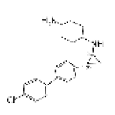 NC1CCC(N[C@H]2C[C@@H]2c2ccc(-c3ccc(Cl)cc3)cc2)CC1